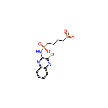 O=[SH](=O)CCCCS(=O)(=O)Nc1nc2ccccc2nc1Cl